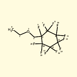 CCOCC1(F)C(F)(F)C(F)(F)C(F)(F)C(F)(F)C1(F)F